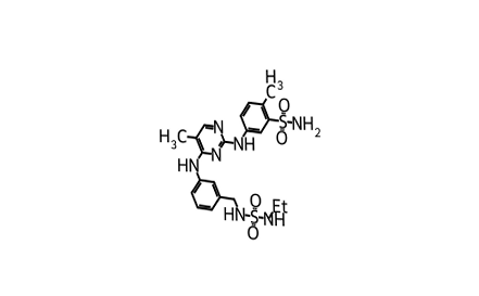 CCNS(=O)(=O)NCc1cccc(Nc2nc(Nc3ccc(C)c(S(N)(=O)=O)c3)ncc2C)c1